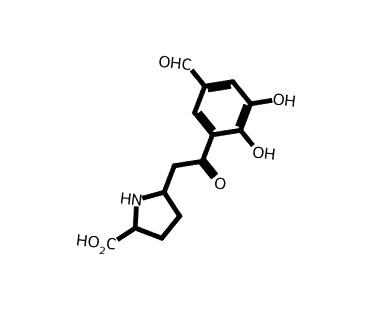 O=Cc1cc(O)c(O)c(C(=O)CC2CCC(C(=O)O)N2)c1